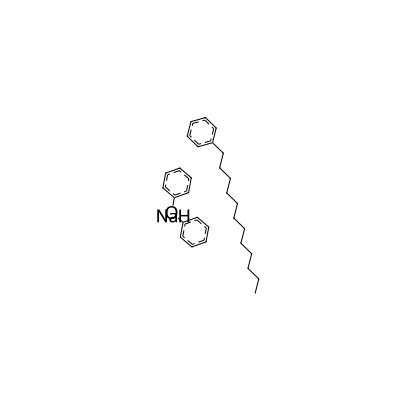 CCCCCCCCCCCCc1ccccc1.[NaH].c1ccc(Oc2ccccc2)cc1